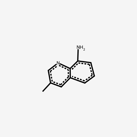 Cc1cnc2c(N)cccc2c1